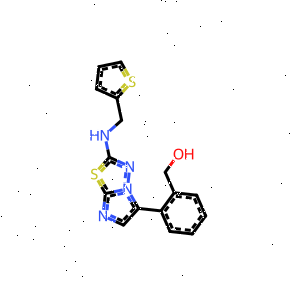 OCc1ccccc1-c1cnc2sc(NCc3cccs3)nn12